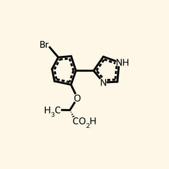 C[C@H](Oc1ccc(Br)cc1-c1c[nH]cn1)C(=O)O